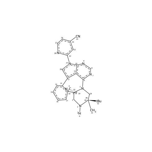 [2H]N1C[C@H](C)N(c2ncnc3c2c(-c2ccccc2F)cn3-c2cc(C#N)ccn2)C[C@@]1(C)C(C)(C)C